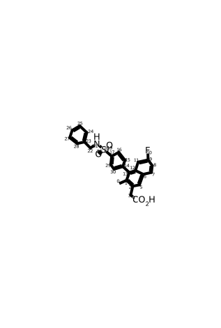 Cc1c(CC(=O)O)cc2ccc(F)cc2c1-c1ccc(S(=O)(=O)NCc2ccccc2)cc1